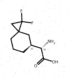 N[C@H](C(=O)O)[C@H]1CCCC2(C1)CC2(F)F